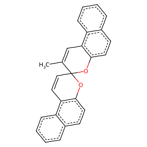 CC1=Cc2c(ccc3ccccc23)OC12C=Cc1c(ccc3ccccc13)O2